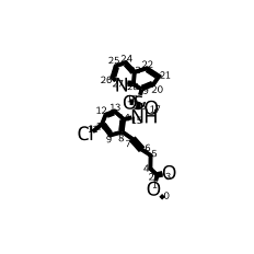 COC(=O)CCC#Cc1cc(Cl)ccc1NS(=O)(=O)c1cccc2cccnc12